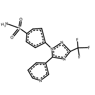 NS(=O)(=O)c1ccc(-n2nc(C(F)(F)F)nc2-c2cccnc2)cc1